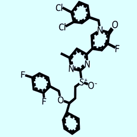 Cc1cc(-c2cc(F)c(=O)n(Cc3ccc(Cl)c(Cl)c3)c2)nc([S+]([O-])CCC(OCc2ccc(F)cc2F)c2ccccc2)n1